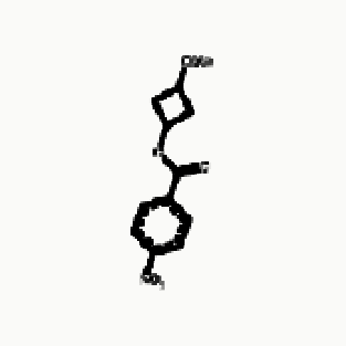 COC1CC(OC(=O)c2ccc([N+](=O)[O-])cc2)C1